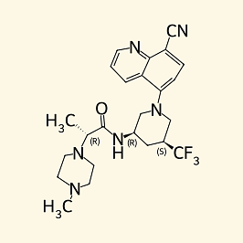 C[C@H](C(=O)N[C@@H]1C[C@H](C(F)(F)F)CN(c2ccc(C#N)c3ncccc23)C1)N1CCN(C)CC1